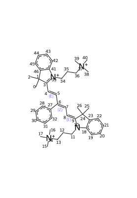 CC1(C)C(/C=C/C(=C/C=C2/N(CCC[N+](C)(C)C)c3ccccc3C2(C)C)c2[c]cccc2)=[N+](CCC[N+](C)(C)C)c2ccccc21